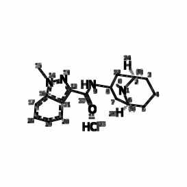 CN1[C@@H]2CCC[C@H]1CC(NC(=O)c1nn(C)c3ccccc13)C2.Cl